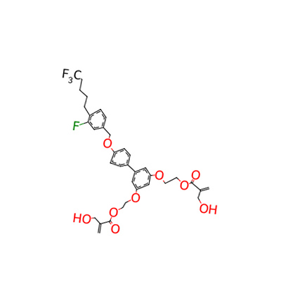 C=C(CO)C(=O)OCCOc1cc(OCCOC(=O)C(=C)CO)cc(-c2ccc(OCc3ccc(CCCCC(F)(F)F)c(F)c3)cc2)c1